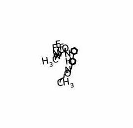 CCCCO/N=C/c1ccc(-c2ccccc2NC(=O)c2cn(C)nc2C(F)(F)F)cc1